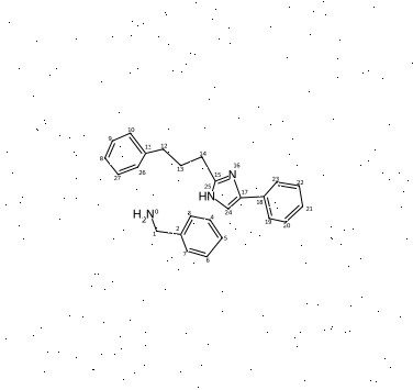 NCc1ccccc1.c1ccc(CCCc2nc(-c3ccccc3)c[nH]2)cc1